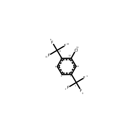 FC(F)(F)c1c[c]c(C(F)(F)F)c(Cl)c1